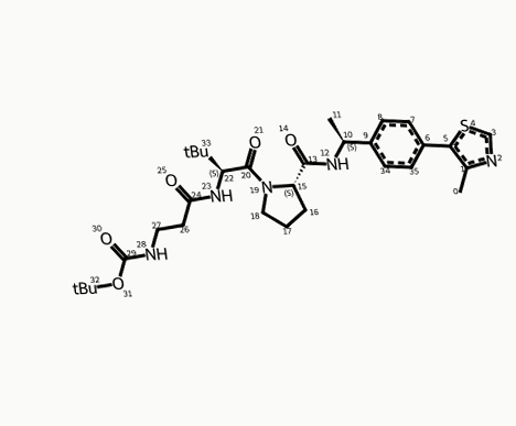 Cc1ncsc1-c1ccc([C@H](C)NC(=O)[C@@H]2CCCN2C(=O)[C@@H](NC(=O)CCNC(=O)OC(C)(C)C)C(C)(C)C)cc1